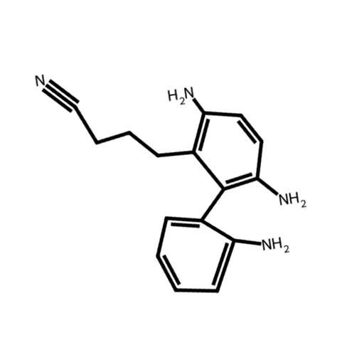 N#CCCCc1c(N)ccc(N)c1-c1ccccc1N